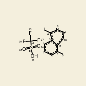 Cc1cccc2c(C)nccc12.O=S(=O)(O)C(F)(F)F